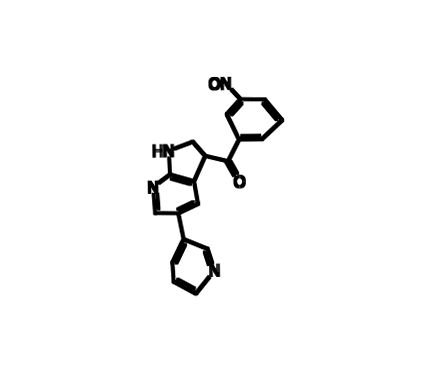 O=Nc1cccc(C(=O)C2CNc3ncc(-c4cccnc4)cc32)c1